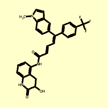 Cn1ccc2cc(/C(=C\C=C\C(=O)Nc3cccc4c3CC(O)C(=O)N4)c3ccc(C(F)(F)F)cc3)ccc21